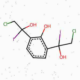 Oc1c(C(O)(I)CCl)cccc1C(O)(I)CCl